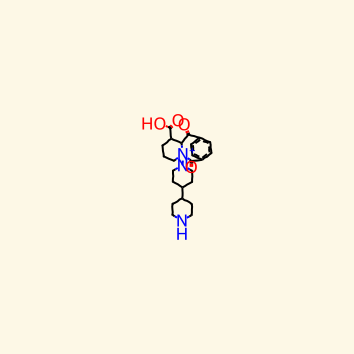 O=C(O)C1CCC[N+]2(N3CCC(C4CCNCC4)CC3)C(=O)c3ccc(cc3)C(=O)C12